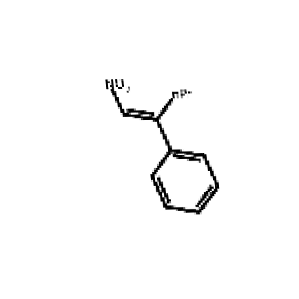 CCCC(=C[N+](=O)[O-])c1ccccc1